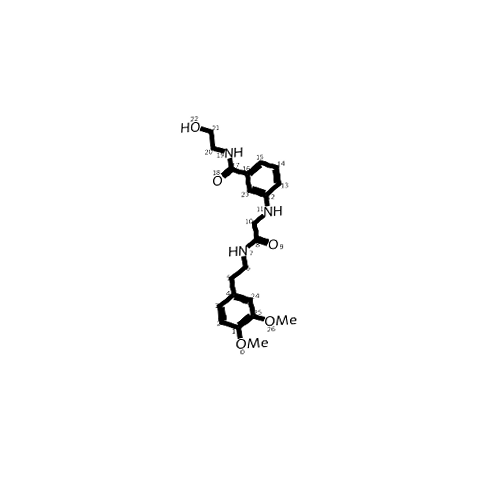 COc1ccc(CCNC(=O)CNc2cccc(C(=O)NCCO)c2)cc1OC